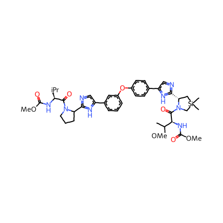 COC(=O)N[C@H](C(=O)N1CCCC1c1ncc(-c2cccc(Oc3ccc(-c4cnc([C@@H]5C[Si](C)(C)CN5C(=O)[C@@H](NC(=O)OC)C(C)OC)[nH]4)cc3)c2)[nH]1)C(C)C